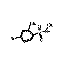 CC(C)(C)NS(=O)(=O)c1ccc(Br)cc1C(C)(C)C